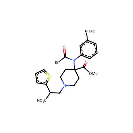 CCC(=O)N(c1cccc(NC(C)=O)c1)C1(C(=O)OC)CCN(CC(C(=O)O)c2cccs2)CC1